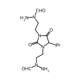 CC(C)C1C(=O)N(CCN(N)C=O)C(=O)N1CCN(N)C=O